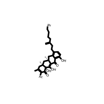 C=C(CCCCC(C)C)CCc1ccc(O)c2c1C[C@]1(C)C[C@]3(C)CC(C)=C(C(C)=O)C(=O)[C@]3(O)C(O)=C1C2=O